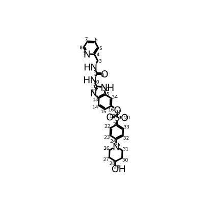 O=C(NCc1ccccn1)Nc1nc2ccc(OS(=O)(=O)c3ccc(N4CCC(O)CC4)cc3)cc2[nH]1